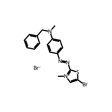 CN(Cc1ccccc1)c1ccc(/N=N/c2sc(Br)c[n+]2C)cc1.[Br-]